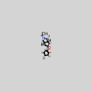 CCN1C[C@H]2C[C@H](Oc3ccc(F)cc3)C[C@H]2C1